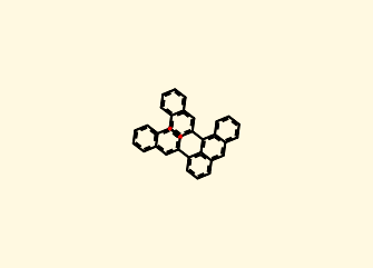 c1ccc2cc(-c3cccc4cc5ccccc5c(-c5ccc6ccccc6c5)c34)ccc2c1